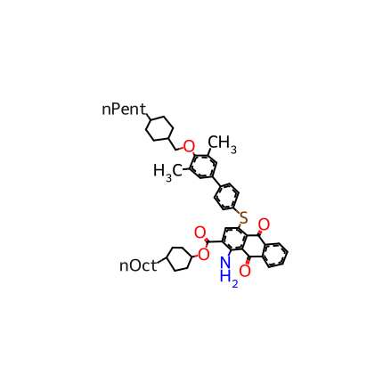 CCCCCCCCC1CCC(OC(=O)c2cc(Sc3ccc(-c4cc(C)c(OCC5CCC(CCCCC)CC5)c(C)c4)cc3)c3c(c2N)C(=O)c2ccccc2C3=O)CC1